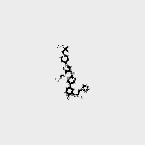 CC(=O)OC(C)(C)CN1CCC(n2cc(Nc3ncc(-c4ccc(Cl)c(O[C@@H](C)Cn5cnnn5)c4)cn3)c(OCC(F)(F)F)n2)CC1